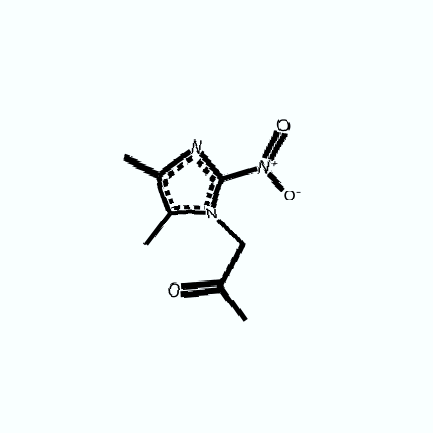 CC(=O)Cn1c([N+](=O)[O-])nc(C)c1C